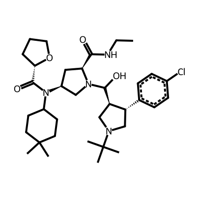 CCNC(=O)[C@@H]1C[C@H](N(C(=O)[C@@H]2CCCO2)C2CCC(C)(C)CC2)CN1C(O)[C@@H]1CN(C(C)(C)C)C[C@H]1c1ccc(Cl)cc1